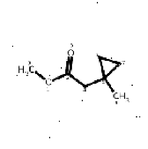 COC(=O)CC1(C)CC1